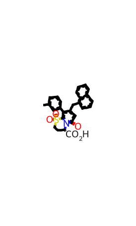 Cc1cccc(-c2c(Cc3cccc4ccccc34)cc(=O)n3c2S(=O)(=O)CCC3C(=O)O)c1